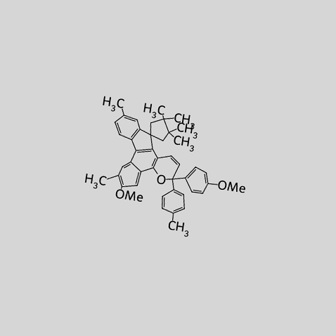 COc1ccc(C2(c3ccc(C)cc3)C=Cc3c4c(c5cc(C)c(OC)cc5c3O2)-c2ccc(C)cc2C42CC(C)(C)C(C)(C)C2)cc1